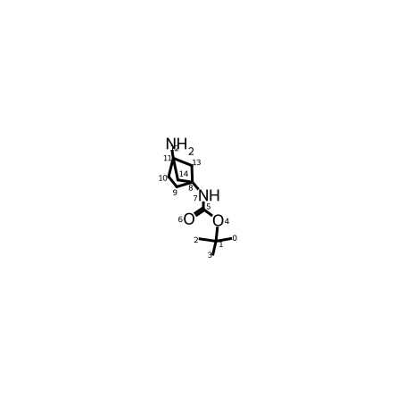 CC(C)(C)OC(=O)NC12CCC(N)(C1)C2